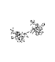 Cc1nc([C@H]2O[C@H]3CO[C@@H](c4ccccc4)O[C@H]3[C@@H](n3cc(-c4cc(F)c(Cl)c(F)c4)nn3)[C@@H]2OCC(=O)NCCCCCCCNC(=O)CO[C@@H]2[C@@H](n3cc(-c4cc(F)c(Cl)c(F)c4)nn3)[C@H]3O[C@@H](c4ccccc4)OC[C@H]3O[C@H]2c2nc(C)nn2-c2cc(Cl)ccc2Cl)n(-c2cc(Cl)ccc2Cl)n1